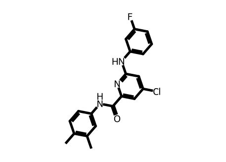 Cc1ccc(NC(=O)c2cc(Cl)cc(Nc3cccc(F)c3)n2)cc1C